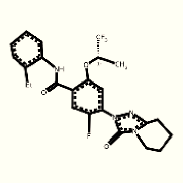 CCc1ccccc1NC(=O)c1cc(F)c(-n2nc3n(c2=O)CCCC3)cc1O[C@@H](C)C(F)(F)F